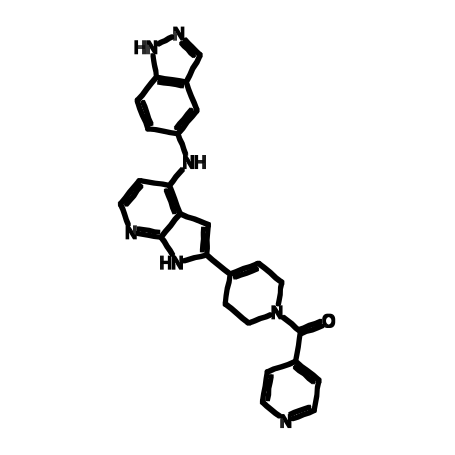 O=C(c1ccncc1)N1CC=C(c2cc3c(Nc4ccc5[nH]ncc5c4)ccnc3[nH]2)CC1